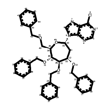 Clc1ncnc2c1ncn2[C@@H]1C[C@H](OCc2ccccc2)[C@@H](OCc2ccccc2)[C@H](OCc2ccccc2)[C@@H](COCc2ccccc2)O1